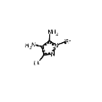 CCc1nn(C(C)C)c(N)c1N